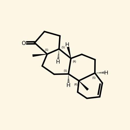 C[C@]12CCC=C[C@@H]1CC[C@@H]1[C@@H]2CC[C@]2(C)C(=O)CC[C@@H]12